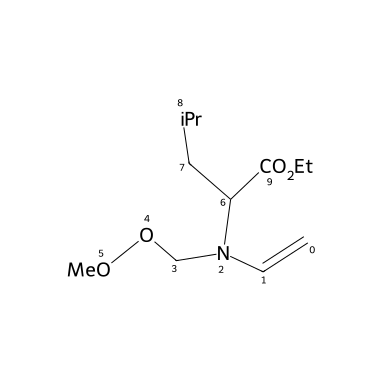 C=CN(COOC)C(CC(C)C)C(=O)OCC